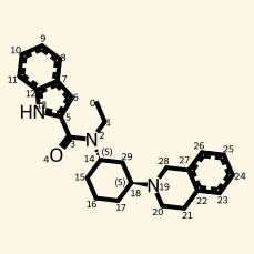 CCN(C(=O)c1cc2ccccc2[nH]1)[C@H]1CCC[C@H](N2CCc3ccccc3C2)C1